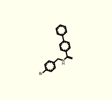 C=C(NCc1ccc(Br)cc1)c1ccc(-c2ccccc2)cc1